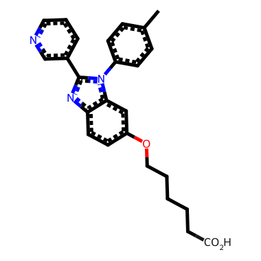 Cc1ccc(-n2c(-c3cccnc3)nc3ccc(OCCCCCC(=O)O)cc32)cc1